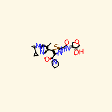 Cc1cc(N[C@H](C)C2CC2)ncc1-c1sc(C(=O)N[C@@H]2COC[C@H]2O)nc1C(=O)N1C2CCC1CC2